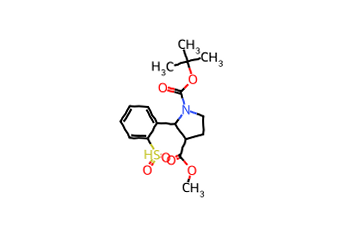 COC(=O)C1CCN(C(=O)OC(C)(C)C)C1c1ccccc1[SH](=O)=O